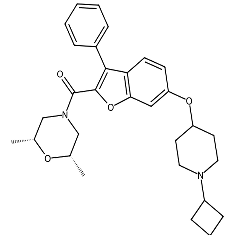 C[C@@H]1CN(C(=O)c2oc3cc(OC4CCN(C5CCC5)CC4)ccc3c2-c2ccccc2)C[C@H](C)O1